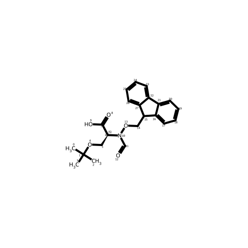 CC(C)(C)OC[C@@H](C(=O)O)N(C=O)OCC1c2ccccc2-c2ccccc21